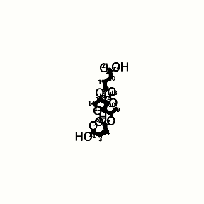 O=C(O)/C=C\C(=O)O[C@H]1CO[C@H]2[C@@H]1OC[C@@H]2OC(=O)CCC(=O)O